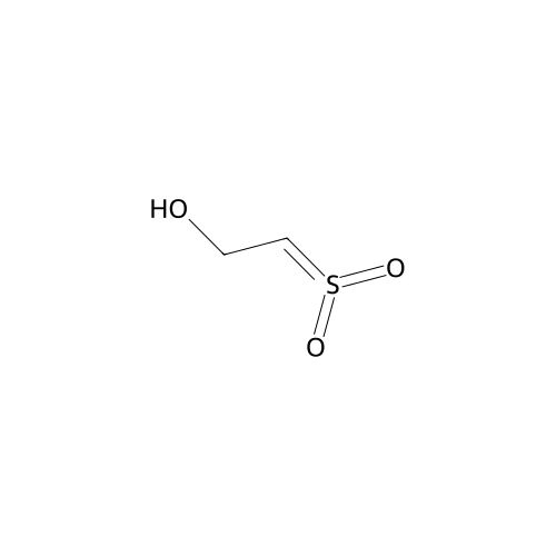 O=S(=O)=CCO